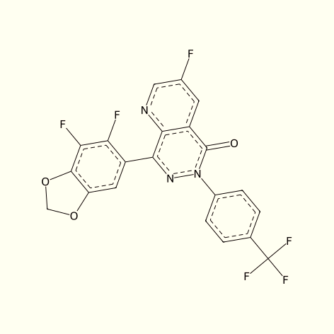 O=c1c2cc(F)cnc2c(-c2cc3c(c(F)c2F)OCO3)nn1-c1ccc(C(F)(F)F)cc1